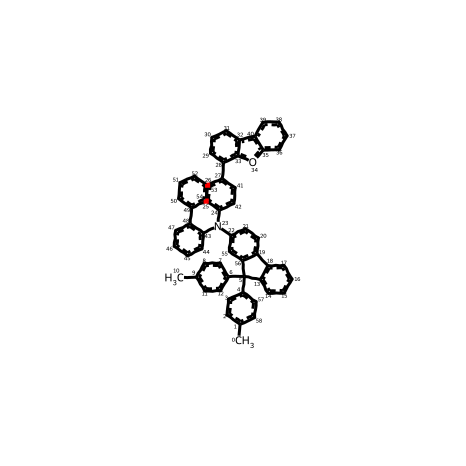 Cc1ccc(C2(c3ccc(C)cc3)c3ccccc3-c3ccc(N(c4ccc(-c5cccc6c5oc5ccccc56)cc4)c4ccccc4-c4ccccc4)cc32)cc1